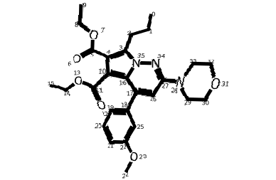 CCCc1c(C(=O)OCC)c(C(=O)OCC)c2c(-c3cccc(OC)c3)cc(N3CCOCC3)nn12